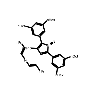 CCCC=[CH][Ni][CH]=CCCC.CCCCCCCCc1cc(CCCCCC)cc(C2=CC(CCCCC)=C(c3cc(CCCCCC)cc(CCCCCCCC)c3)[N+]2=[N-])c1